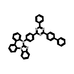 c1ccc(-c2ccc(-c3nc(-c4ccccc4)nc(-c4ccc(N5c6ccccc6-c6ccccc6-n6c5nc5ccccc56)cc4)n3)cc2)cc1